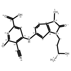 C[C@@H](O)CCn1c(=O)n(C)c2ccc(Nc3cc(C(=O)O)nc(Cl)c3C#N)cc21